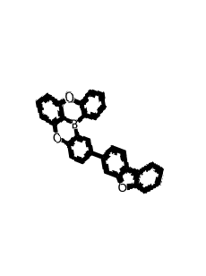 c1ccc2c(c1)Oc1cccc3c1B2c1cc(-c2ccc4c(c2)oc2ccccc24)ccc1O3